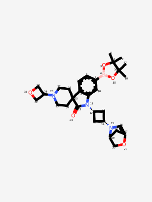 CC1(C)OB(c2ccc3c(c2)N([C@H]2C[C@@H](N4C=C5CC4CO5)C2)C(=O)C32CCN(C3COC3)CC2)OC1(C)C